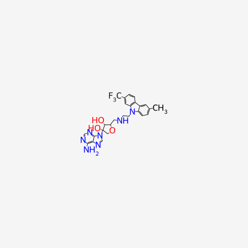 Cc1ccc2c(c1)c1ccc(C(F)(F)F)cc1n2CCNCC1OCC(O)(n2cnc3c(N)ncnc32)C1O